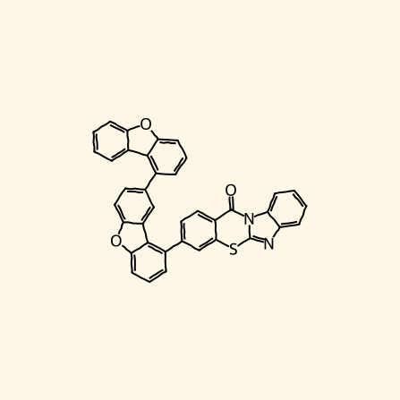 O=c1c2ccc(-c3cccc4oc5ccc(-c6cccc7oc8ccccc8c67)cc5c34)cc2sc2nc3ccccc3n12